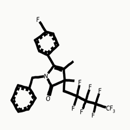 CC1=C(c2ccc(F)cc2)N(Cc2ccccc2)C(=O)C1(C)CC(F)(F)C(F)(F)C(F)(F)C(F)(F)F